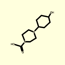 O=C(O)N1CCN(C2CCC(O)CC2)CC1